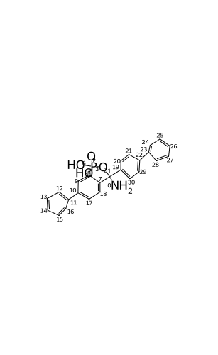 NC(OP(=O)(O)O)(c1ccc(-c2ccccc2)cc1)c1ccc(-c2ccccc2)cc1